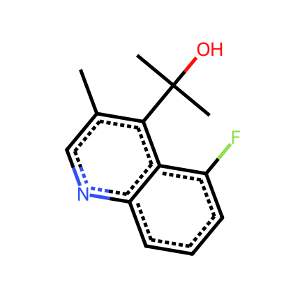 Cc1cnc2cccc(F)c2c1C(C)(C)O